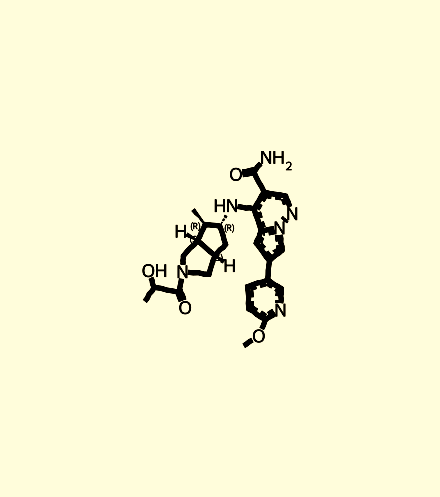 COc1ccc(-c2cc3c(N[C@@H]4C[C@@H]5CN(C(=O)C(C)O)C[C@@H]5[C@H]4C)c(C(N)=O)cnn3c2)cn1